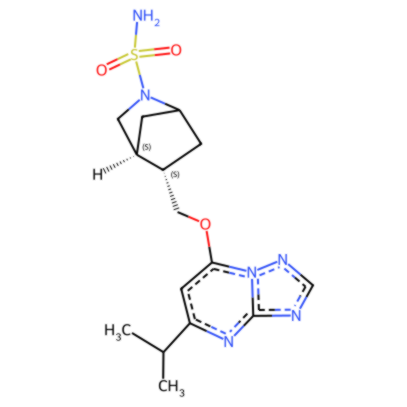 CC(C)c1cc(OC[C@H]2CC3C[C@@H]2CN3S(N)(=O)=O)n2ncnc2n1